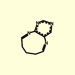 C1=N\c2cncnc2/N=C\CCC/1